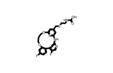 O=C(O)NCCSCc1cc2nc(c1)OCCCOc1cc(F)ccc1-c1cc(ncc1F)N2